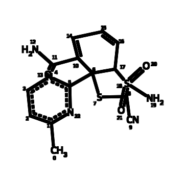 Cc1ccnc(C2(SCC#N)C(C(N)=O)=CC=CC2S(N)(=O)=O)n1